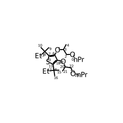 CCCOCC(C)Oc1c(C(C)(C)CC)sc(C(C)(C)CC)c1OC(C)COCCC